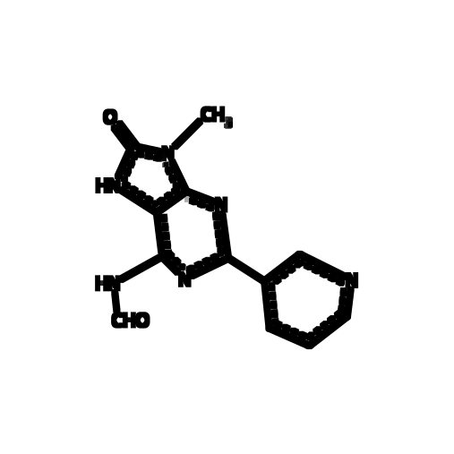 Cn1c(=O)[nH]c2c(NC=O)nc(-c3cccnc3)nc21